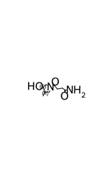 C[C@@H]1CN(C(=O)CCC(N)=O)C[C@H]1O